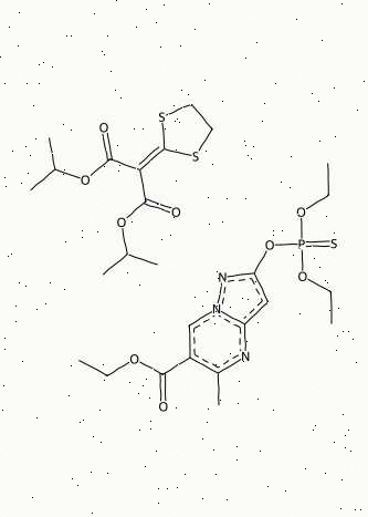 CC(C)OC(=O)C(C(=O)OC(C)C)=C1SCCS1.CCOC(=O)c1cn2nc(OP(=S)(OCC)OCC)cc2nc1C